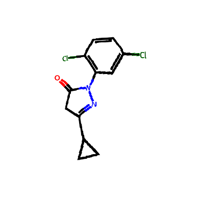 O=C1CC(C2CC2)=NN1c1cc(Cl)ccc1Cl